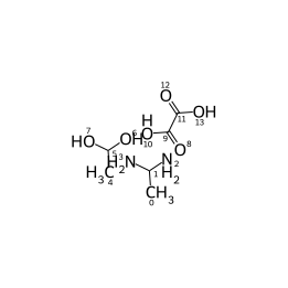 CC(N)N.CC(O)O.O=C(O)C(=O)O